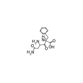 NC(=O)CC(N)C(=O)C(N)(Cc1ccccc1)C(=O)O